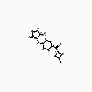 CC1CN(C(=O)C2CCC(CN3C(=O)C=CC3=O)CC2)C1